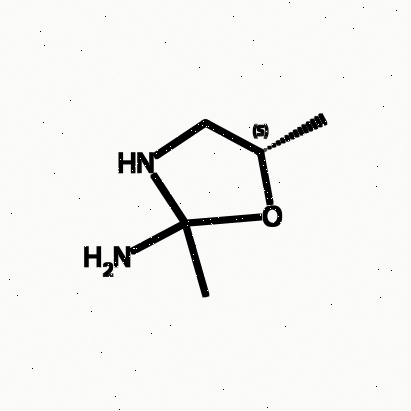 C[C@H]1CNC(C)(N)O1